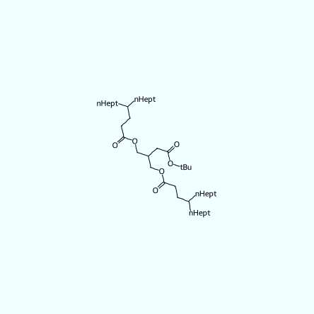 CCCCCCCC(CCCCCCC)CCC(=O)OCC(COC(=O)CCC(CCCCCCC)CCCCCCC)CC(=O)OC(C)(C)C